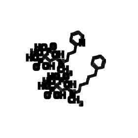 CN(CCCCCc1ccccc1)CCC(O)(P(=O)(O)O)P(=O)(O)O.CN(CCCc1ccccn1)CCC(O)(P(=O)(O)O)P(=O)(O)O